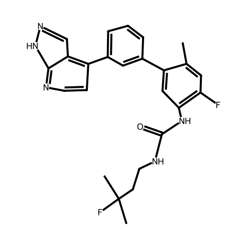 Cc1cc(F)c(NC(=O)NCCC(C)(C)F)cc1-c1cccc(-c2ccnc3[nH]ncc23)c1